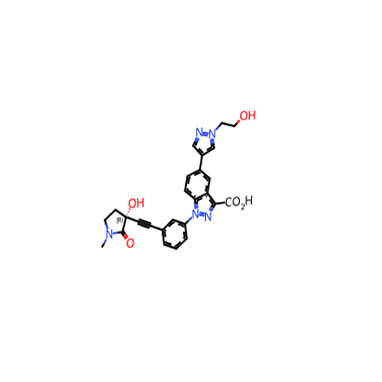 CN1CC[C@@](O)(C#Cc2cccc(-n3nc(C(=O)O)c4cc(-c5cnn(CCO)c5)ccc43)c2)C1=O